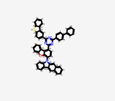 c1ccc(-c2ccc(-c3nc(-c4ccc5sc6ccccc6c5c4)nc(-c4ccc(-n5c6ccccc6c6cc7ccccc7cc65)c5oc6ccccc6c45)n3)cc2)cc1